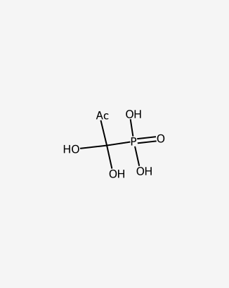 CC(=O)C(O)(O)P(=O)(O)O